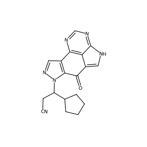 N#CCC(C1CCCC1)n1ncc2c1C(=O)c1c[nH]c3ncnc-2c13